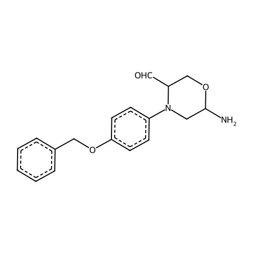 NC1CN(c2ccc(OCc3ccccc3)cc2)C(C=O)CO1